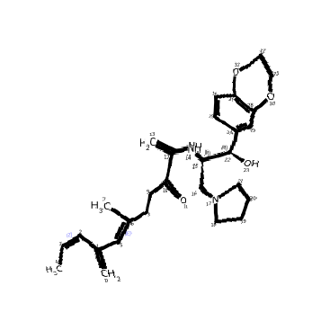 C=C(/C=C\C)/C=C(\C)CCC(=O)C(=C)N[C@H](CN1CCCC1)[C@H](O)c1ccc2c(c1)OCCO2